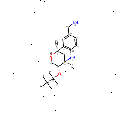 CC(C)(C)[Si](C)(C)O[C@@H]1CO[C@@H]2C[C@H]1Nc1ccc(CN)cc12